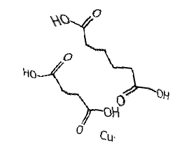 O=C(O)CCC(=O)O.O=C(O)CCCCC(=O)O.[Cu]